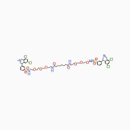 CN1Cc2c(Cl)cc(Cl)cc2C(c2cccc(S(=O)(=O)NCCOCCOCCOCCNC(=O)CCCCCCC(=O)NCCOCCOCCOCCNS(=O)(=O)c3cccc(C4CN(C)Cc5c(Cl)cc(Cl)cc54)c3)c2)C1